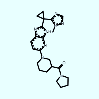 Cn1ncnc1C1(c2nc3ccc(N4CCCC(C(=O)N5CCCC5)C4)nc3[nH]2)CC1